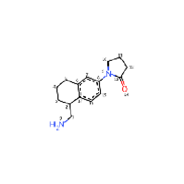 NCC1CCCc2cc(N3CCCC3=O)ccc21